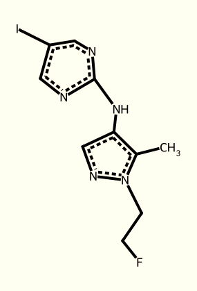 Cc1c(Nc2ncc(I)cn2)cnn1CCF